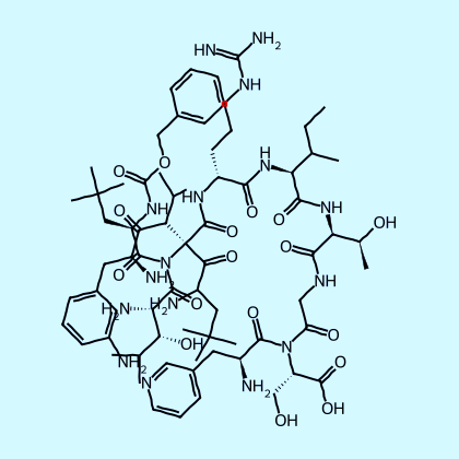 CCC(C)[C@H](NC(=O)[C@@H](CCCNC(=N)N)NC(=O)[C@](C(=O)C(N)CC(C)(C)C)(C(C(=O)[C@@H](N)Cc1cccc(N)c1)C(C)C)N(C(=O)[C@@H](N)[C@H](O)C(C)C)C(=O)[C@@H](CC(C)(C)C)NC(=O)OCc1ccccc1)C(=O)N[C@H](C(=O)NCC(=O)N(C(=O)[C@@H](N)Cc1cccnc1)[C@@H](CO)C(=O)O)[C@H](C)O